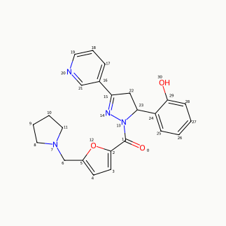 O=C(c1ccc(CN2CCCC2)o1)N1N=C(c2cccnc2)CC1c1ccccc1O